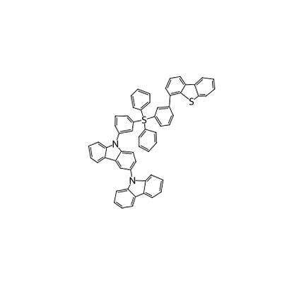 c1ccc(S(c2ccccc2)(c2cccc(-c3cccc4c3sc3ccccc34)c2)c2cccc(-n3c4ccccc4c4cc(-n5c6ccccc6c6ccccc65)ccc43)c2)cc1